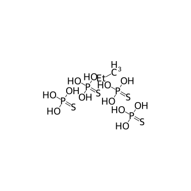 CCC.OP(O)(O)=S.OP(O)(O)=S.OP(O)(O)=S.OP(O)(O)=S